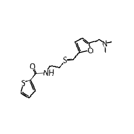 CN(C)Cc1ccc(CSCCNC(=O)c2cccs2)o1